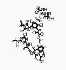 CCNc1nc(Cl)nc(NC(C)C)n1.CCOC(=O)C(Cl)Cc1cc(-n2nc(C)n(C(F)F)c2=O)c(F)cc1Cl.CCc1cccc(C)c1N(C(=O)CCl)C(C)COC.C[S+](C)C.O=C(O)CNCP(=O)([O-])O